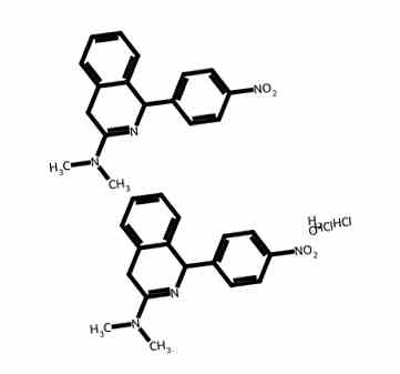 CN(C)C1=NC(c2ccc([N+](=O)[O-])cc2)c2ccccc2C1.CN(C)C1=NC(c2ccc([N+](=O)[O-])cc2)c2ccccc2C1.Cl.Cl.O